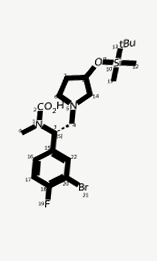 CN(C(=O)O)[C@H](CN1CCC(O[Si](C)(C)C(C)(C)C)C1)c1ccc(F)c(Br)c1